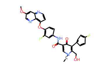 CCn1cc(C(=O)Nc2ccc(Oc3ccnc4cc(OC)cnc34)c(F)c2)c(=O)c(-c2ccc(F)cc2)c1CO